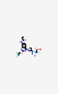 C=CC(=O)Nc1ccc2c(N3CC[C@@H](N)C3)nc(OCC(F)(F)F)nc2c1.O=C(O)C(F)(F)F